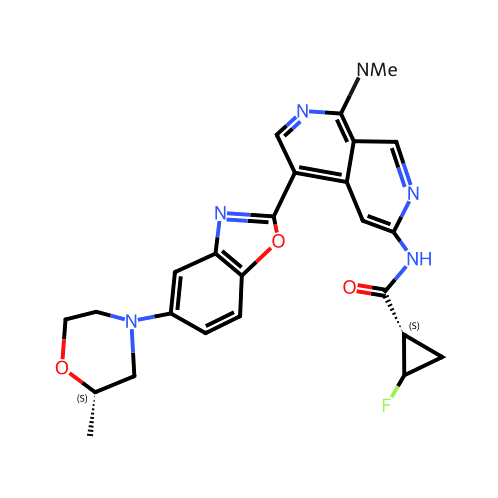 CNc1ncc(-c2nc3cc(N4CCO[C@@H](C)C4)ccc3o2)c2cc(NC(=O)[C@@H]3CC3F)ncc12